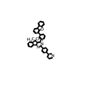 CC1(C)c2ccccc2-c2nc(-c3ccc(-c4cccnc4)cc3)nc(-c3cccc(-c4cccc5c4oc4ccccc45)c3)c21